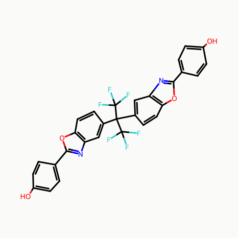 Oc1ccc(-c2nc3cc(C(c4ccc5oc(-c6ccc(O)cc6)nc5c4)(C(F)(F)F)C(F)(F)F)ccc3o2)cc1